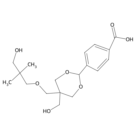 CC(C)(CO)COCC1(CO)COC(c2ccc(C(=O)O)cc2)OC1